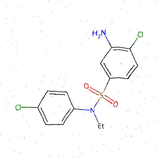 CCN(c1ccc(Cl)cc1)S(=O)(=O)c1ccc(Cl)c(N)c1